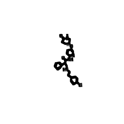 CN1C[C@H](Oc2ccc(NC(=O)C(CNCCc3ccc(Cl)cc3)c3ccccc3)nc2)CCC1=O